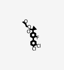 O=C(OCC1CO1)C1(c2ccc(-c3ccc(Cl)c(Cl)c3)c(F)c2)CC1